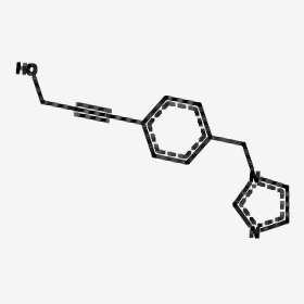 OCC#Cc1ccc(Cn2ccnc2)cc1